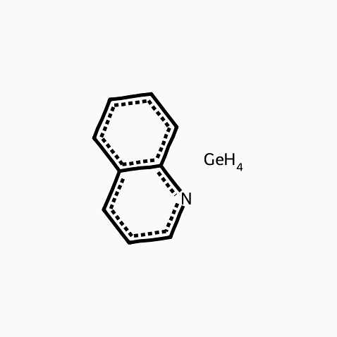 [GeH4].c1ccc2ncccc2c1